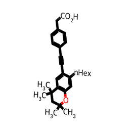 CCCCCCc1cc2c(cc1C#Cc1ccc(CC(=O)O)cc1)C(C)(C)CC(C)(C)O2